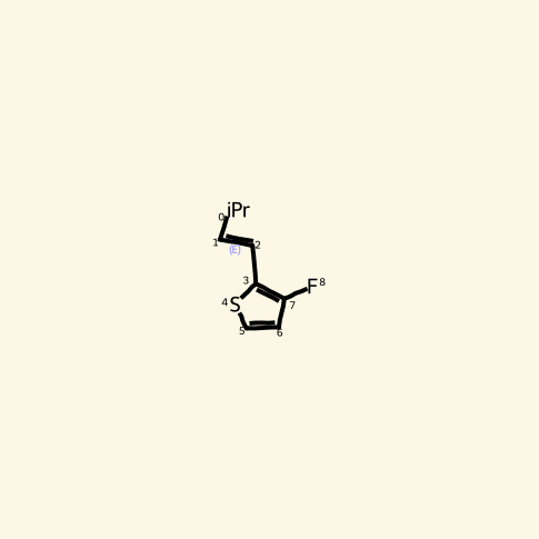 CC(C)/C=C/c1sccc1F